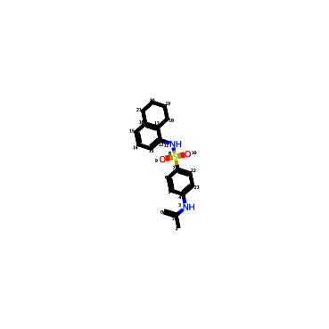 C=C(C)Nc1ccc(S(=O)(=O)Nc2cccc3c2CCCC3)cc1